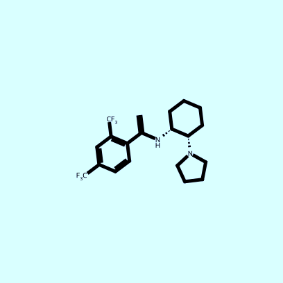 C=C(N[C@@H]1CCCC[C@@H]1N1CCCC1)c1ccc(C(F)(F)F)cc1C(F)(F)F